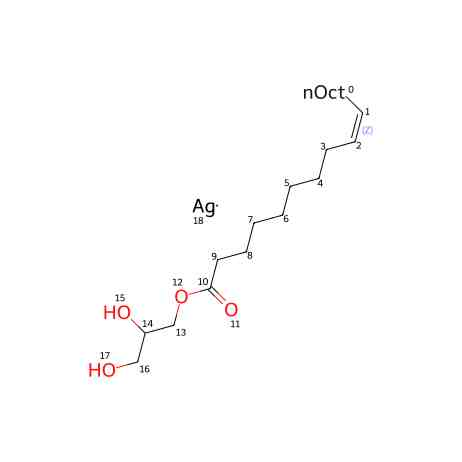 CCCCCCCC/C=C\CCCCCCCC(=O)OCC(O)CO.[Ag]